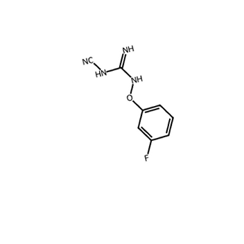 N#CNC(=N)NOc1cccc(F)c1